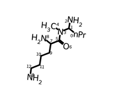 CCCC(N)N(C)C(=O)C(N)CCCCN